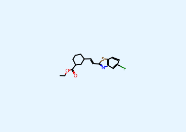 CCOC(=O)C1CCCC(C=Cc2nc3cc(F)ccc3s2)C1